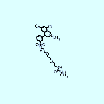 CNC(=O)NCCOCCOCCNS(=O)(=O)c1cccc(C2CN(C)Cc3c(Cl)cc(Cl)cc32)c1